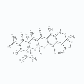 CCCN1CCC2(C)CNc3c(O)c4c(c(F)c3C12)C[C@H]1C[C@H]2[C@H](N(C)C)C(O)=C(C(N)=O)C(=O)[C@@]2(O)C(O)=C1C4=O